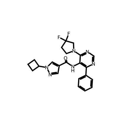 O=C(Nc1c(-c2ccccc2)ncnc1N1CCC(F)(F)C1)c1cnn(C2CCC2)c1